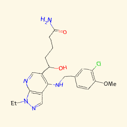 CCn1ncc2c(NCc3ccc(OC)c(Cl)c3)c(C(O)CCCC(N)=O)cnc21